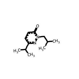 CC(C)Cn1nc(C(C)C)ccc1=O